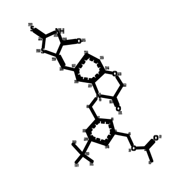 CC(=O)OCc1cc(CN2C(=O)COc3ccc(C=C4SC(=S)NC4=O)cc32)cc(C(C)(C)C)c1